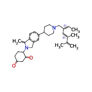 C=C(C)/C(C)=C/C(=C\C)CN1CCC(c2ccc3c(c2)CN(C2CCC(=O)CC2=O)C3=C)CC1